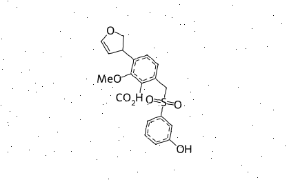 COc1c(C2C=COC2)ccc(CS(=O)(=O)c2cccc(O)c2)c1C(=O)O